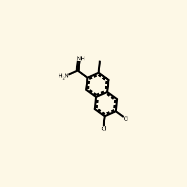 Cc1cc2cc(Cl)c(Cl)cc2cc1C(=N)N